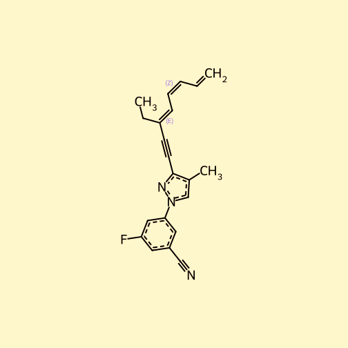 C=C/C=C\C=C(\C#Cc1nn(-c2cc(F)cc(C#N)c2)cc1C)CC